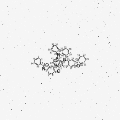 c1ccc(-c2nc3ccc4oc5cc(N(c6ccc7oc8ccccc8c7c6)c6cccc7c8ccccc8n(-c8ccccc8)c67)ccc5c4c3o2)cc1